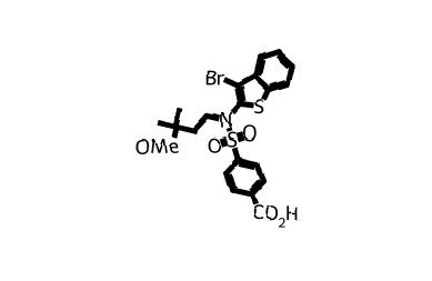 COC(C)(C)CCN(c1sc2ccccc2c1Br)S(=O)(=O)c1ccc(C(=O)O)cc1